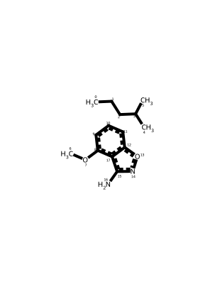 CCCC(C)C.COc1cccc2onc(N)c12